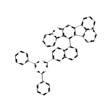 c1ccc(-c2nc(-c3ccccc3)nc(-c3ccc4c(-c5c6c(cc7sc8ccccc8c57)-c5cccc7cccc-6c57)cccc4c3)n2)cc1